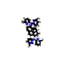 Cc1cccc(N(c2cccc(C)n2)c2ccc3ccc4c(N(c5cccc(C)n5)c5cccc(C)n5)ccc5ccc2c3c54)n1